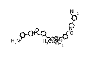 C[Si](C)(/C=C/c1cccc(CC(=O)N2CCC(c3cccc(CN)c3)CC2)c1)O[Si](C)(C)/C=C/c1cccc(CC(=O)N2CCC(c3cccc(CN)c3)CC2)c1